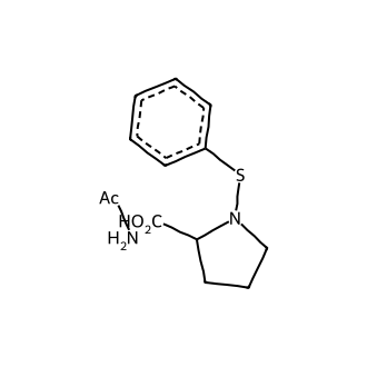 CC(N)=O.O=C(O)C1CCCN1Sc1ccccc1